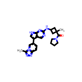 Cc1nnc2ccc(-c3c[nH]c4nc(NC5CC(C)(C(=O)N6CCCC6)C5)ncc34)cn12